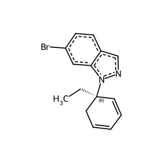 CC[C@]1(n2ncc3ccc(Br)cc32)C=CC=CC1